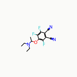 CCN(CC)C(C)Oc1c(F)c(F)c(C#N)c(C#N)c1F